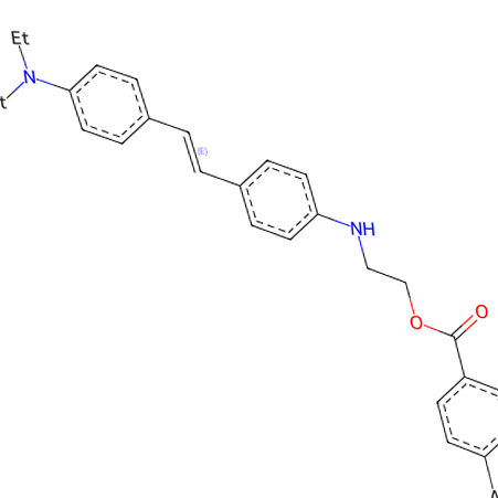 CCN(CC)c1ccc(/C=C/c2ccc(NCCOC(=O)c3ccc(C(C)=O)cc3)cc2)cc1